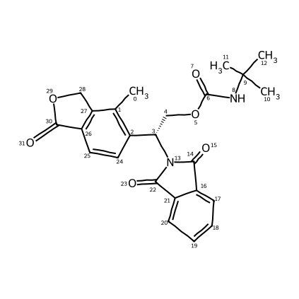 Cc1c([C@H](COC(=O)NC(C)(C)C)N2C(=O)c3ccccc3C2=O)ccc2c1COC2=O